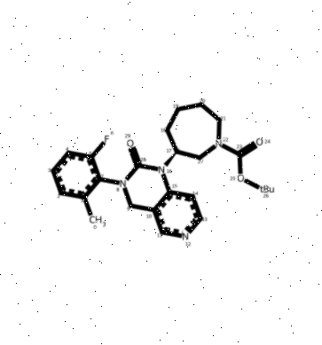 Cc1cccc(F)c1N1Cc2cnccc2N([C@H]2CCCCN(C(=O)OC(C)(C)C)C2)C1=O